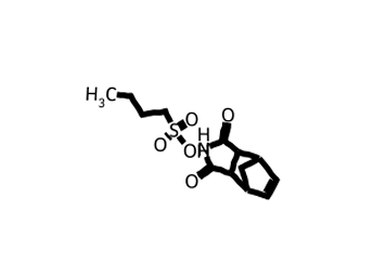 CCCCS(=O)(=O)O.O=C1NC(=O)C2C3C=CC(C3)C12